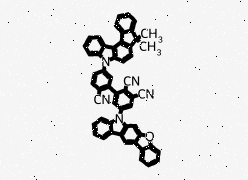 CC1(C)c2ccccc2-c2c1ccc1c2c2ccccc2n1-c1ccc(C#N)c(-c2cc(-n3c4ccccc4c4cc5c(cc43)oc3ccccc35)cc(C#N)c2C#N)c1